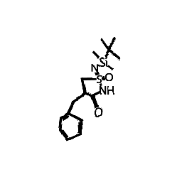 CC(C)(C)[Si](C)(C)N=S1(=O)CC(Cc2ccccc2)C(=O)N1